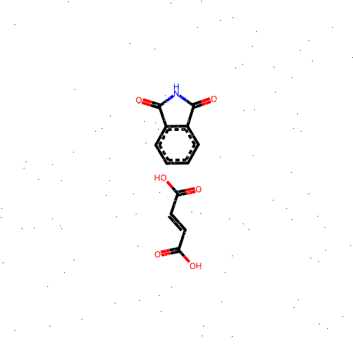 O=C(O)C=CC(=O)O.O=C1NC(=O)c2ccccc21